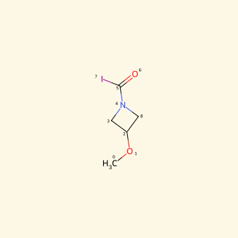 COC1CN(C(=O)I)C1